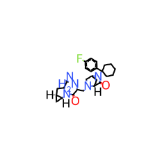 N#CC1C[C@@H]2C[C@@H]2N1C(=O)C(N)CN1CC2C[C@H]1C(=O)N2C1(c2ccc(F)cc2)CCCCC1